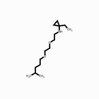 CCC1(NCCOCCOCCCC(C)C)CC1